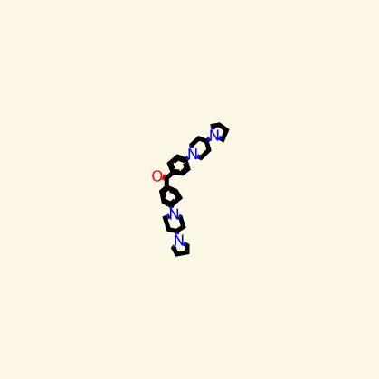 O=C(c1ccc(N2CCC(N3CCCC3)CC2)cc1)c1ccc(N2CCC(N3CCCC3)CC2)cc1